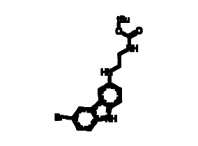 CC(C)(C)OC(=O)NCCNc1ccc2[nH]c3ccc(Br)cc3c2c1